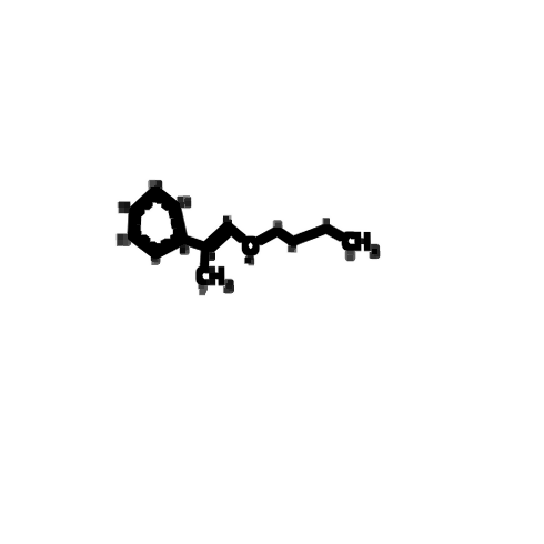 CCCCOC=C(C)c1ccccc1